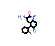 Cn1c(=O)c(N)cc2c(-c3ccccc3Cl)c(Cl)ccc21